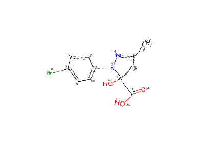 CC1=NN(c2ccc(Br)cc2)C(O)(C(=O)O)C1